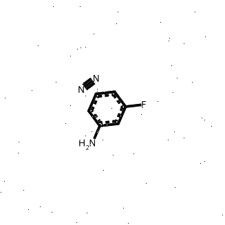 N#N.Nc1cccc(F)c1